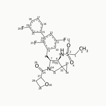 CCS(=O)(=O)N[C@@H]1[C@H](Cc2cc(F)cc(-c3cccc(F)c3)c2F)N(C(=O)C2CCO2)CC12CC2